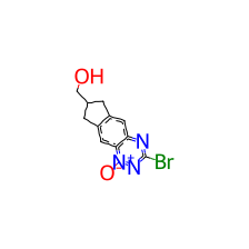 [O-][n+]1nc(Br)nc2cc3c(cc21)CC(CO)C3